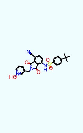 CC(C)(C)c1ccc(S(=O)(=O)Nc2ccc(C#N)c3c2C(=O)N(Cc2ccc[n+](O)c2)C3=O)cc1